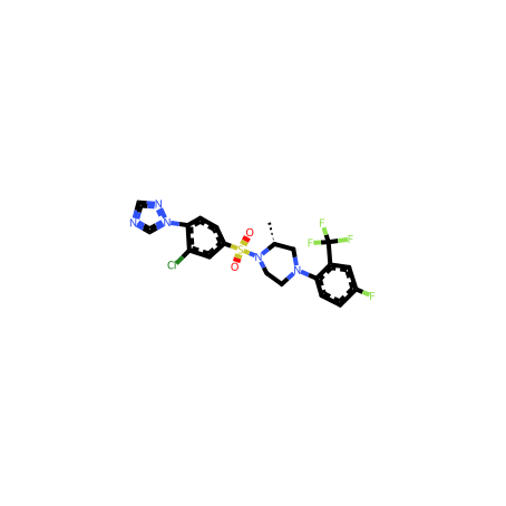 C[C@@H]1CN(c2ccc(F)cc2C(F)(F)F)CCN1S(=O)(=O)c1ccc(-n2cncn2)c(Cl)c1